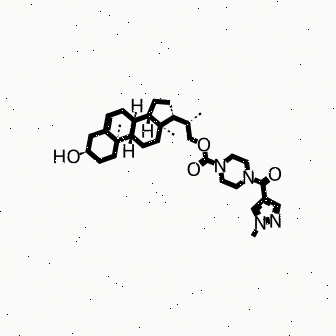 C[C@H](COC(=O)N1CCN(C(=O)c2cnn(C)c2)CC1)[C@H]1CC[C@H]2[C@@H]3CC=C4C[C@@H](O)CC[C@]4(C)[C@H]3CC[C@]12C